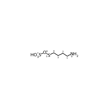 NCCCCSOS(=O)(=O)O